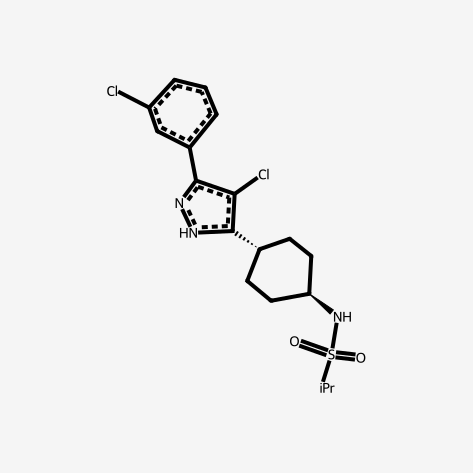 CC(C)S(=O)(=O)N[C@H]1CC[C@H](c2[nH]nc(-c3cccc(Cl)c3)c2Cl)CC1